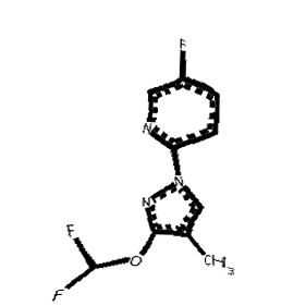 Cc1cn(-c2ccc(F)cn2)nc1OC(F)F